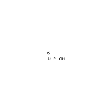 Cl.[Li].[P].[S]